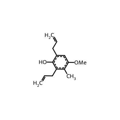 C=CCc1cc(OC)c(C)c(CC=C)c1O